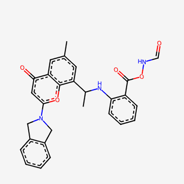 Cc1cc(C(C)Nc2ccccc2C(=O)ONC=O)c2oc(N3Cc4ccccc4C3)cc(=O)c2c1